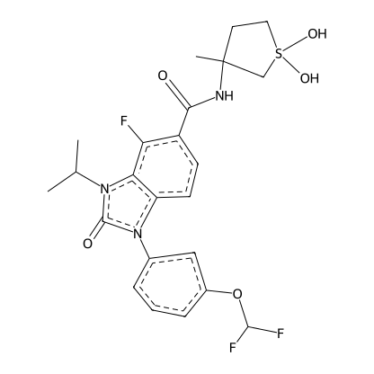 CC(C)n1c(=O)n(-c2cccc(OC(F)F)c2)c2ccc(C(=O)NC3(C)CCS(O)(O)C3)c(F)c21